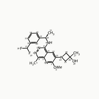 COc1nc2c(C)nnc(N[C@H](C)c3cccc(C(F)F)c3)c2cc1N1CC(C)(O)C1